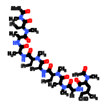 CCCC(=O)N(C)C(C[C@H](C)CC=O)C(=O)N[C@@H](CC)C(=O)N(C)[C@H](C)C(=O)N(C)[C@@H](CC(C)C)C(=O)N[C@H](C(=O)N(C)[C@@H](CC(C)C)C(=O)N[C@H](C)C(=O)NC(C)C(=O)N(C)[C@@H](CC(C)C)C(=O)N(C)C(=O)NC)C(C)C